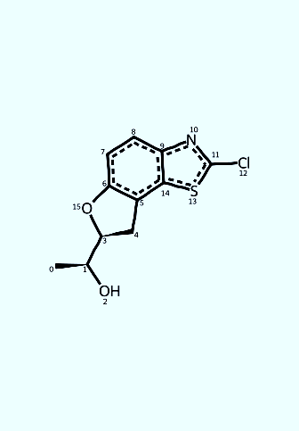 C[C@H](O)[C@@H]1Cc2c(ccc3nc(Cl)sc23)O1